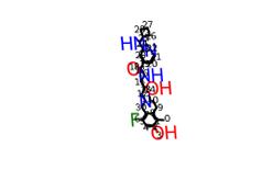 Cc1c(O)cc(F)c2c1CCN(C[C@H](O)CNC(=O)c1ccnc(NC3CCC3)c1)C2